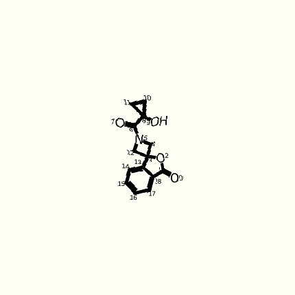 O=C1OC2(CN(C(=O)C3(O)CC3)C2)c2ccccc21